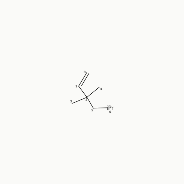 C=CC(C)(C)CC(C)C